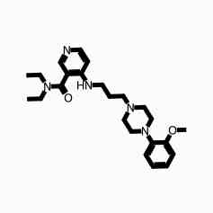 CCN(CC)C(=O)c1cnccc1NCCCN1CCN(c2ccccc2OC)CC1